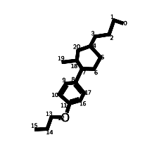 CCCCC1CCC(c2ccc(OCCC)cc2)C(C)C1